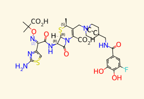 C[C@@H]1S[C@@H]2[C@H](NC(=O)/C(=N\OC(C)(C)C(=O)O)c3csc(N)n3)C(=O)N2C(C(=O)O)=C1C[N+]12CCC(CNC(=O)c3cc(O)c(O)c(F)c3)(CC1)CC2